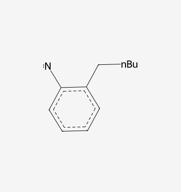 CCCCCc1ccccc1[N]